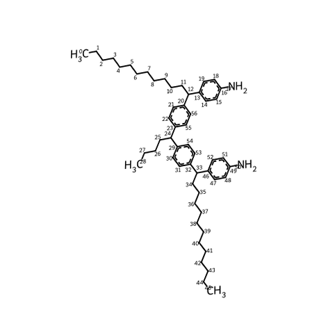 CCCCCCCCCCCCC(c1ccc(N)cc1)c1ccc(C(CCCC)c2ccc(C(CCCCCCCCCCCC)c3ccc(N)cc3)cc2)cc1